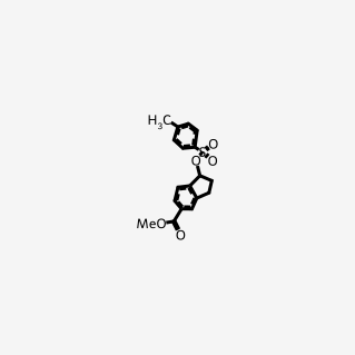 COC(=O)c1ccc2c(c1)CCC2OS(=O)(=O)c1ccc(C)cc1